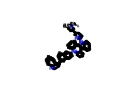 C=N/C=C(\C=C/C)c1ccc(-n2c3c(c4ccccc42)-c2ccccc2N(c2ccc4cc(-c5ccnc6ccccc56)ccc4c2)c2ccccc2-3)nc1